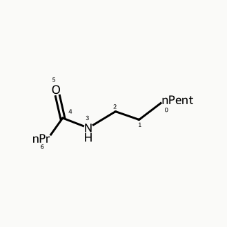 CCCCCCCNC(=O)CCC